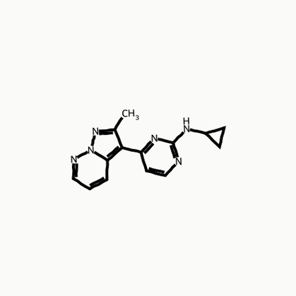 Cc1nn2ncccc2c1-c1ccnc(NC2CC2)n1